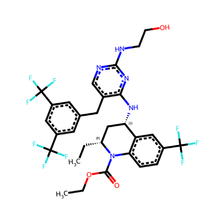 CCOC(=O)N1c2ccc(C(F)(F)F)cc2[C@@H](Nc2nc(NCCO)ncc2Cc2cc(C(F)(F)F)cc(C(F)(F)F)c2)C[C@H]1CC